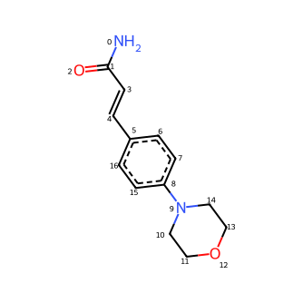 NC(=O)C=Cc1ccc(N2CCOCC2)cc1